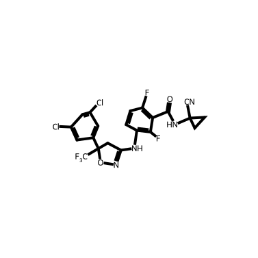 N#CC1(NC(=O)c2c(F)ccc(NC3=NOC(c4cc(Cl)cc(Cl)c4)(C(F)(F)F)C3)c2F)CC1